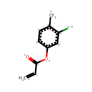 C=CC(=O)Oc1ccc(C(F)(F)F)c(F)c1